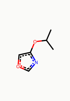 CC(C)Oc1cocn1